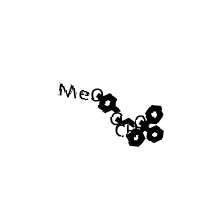 COc1ccc(COC(C)CCOC(c2ccccc2)(c2ccccc2)c2ccccc2)cc1